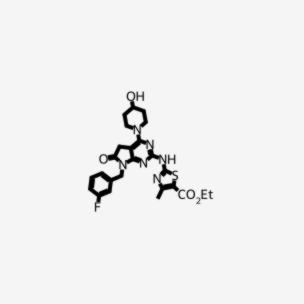 CCOC(=O)c1sc(Nc2nc(N3CCC(O)CC3)c3c(n2)N(Cc2cccc(F)c2)C(=O)C3)nc1C